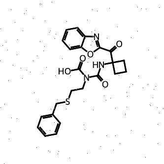 O=C(O)N(CCSCc1ccccc1)C(=O)NC1(C(=O)c2nc3ccccc3o2)CCC1